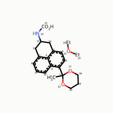 CC1(c2ccc3c4c(cccc24)CC(NC(=O)O)C3)OCCCO1.CCOCC